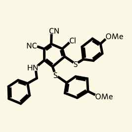 COc1ccc(Sc2c(Cl)c(C#N)c(C#N)c(NCc3ccccc3)c2Sc2ccc(OC)cc2)cc1